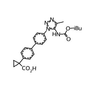 CCC(C)OC(=O)Nc1c(C)nnn1-c1ccc(-c2ccc(C3(C(=O)O)CC3)cc2)cc1